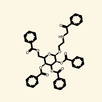 O=C(CNCCO[C@@H]1OC(COC(=O)c2ccccc2)[C@H](OC(=O)c2ccccc2)C(OC(=O)c2ccccc2)[C@@H]1OC(=O)c1ccccc1)c1ccccc1